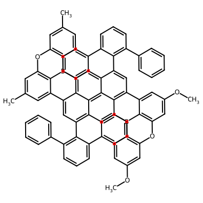 COc1ccc2c(c1)Oc1cc(OC)cc3c1B2c1cc2c(-c4c(-c5ccccc5)cccc4-c4ccccc4)cc4c5c(cc6c(-c7c(-c8ccccc8)cccc7-c7ccccc7)cc-3c1c6c25)B1c2ccc(C)cc2Oc2cc(C)cc-4c21